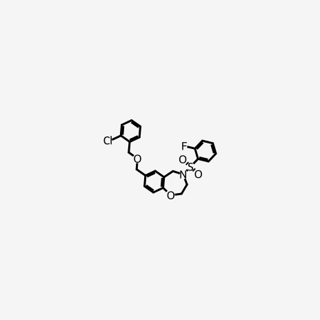 O=S(=O)(c1ccccc1F)N1CCOc2ccc(COCc3ccccc3Cl)cc2C1